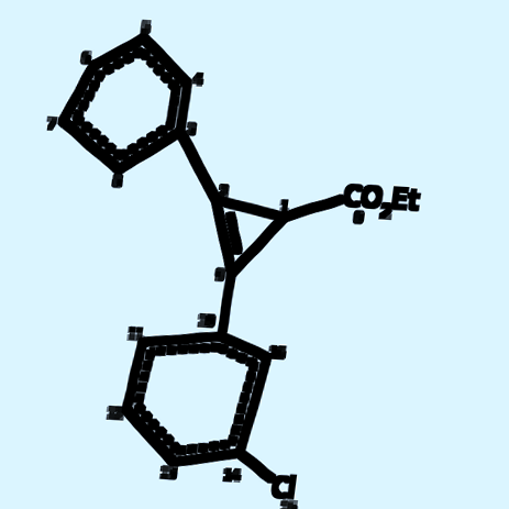 CCOC(=O)C1C(c2ccccc2)=C1c1cccc(Cl)c1